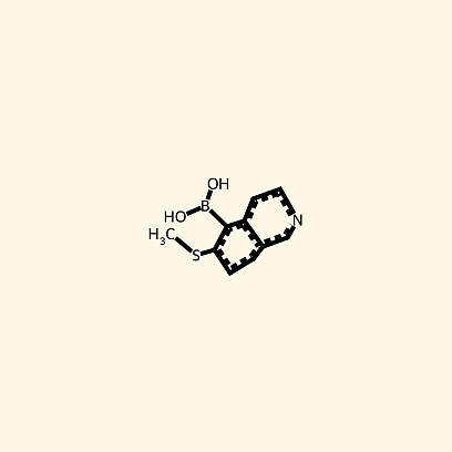 CSc1ccc2cnccc2c1B(O)O